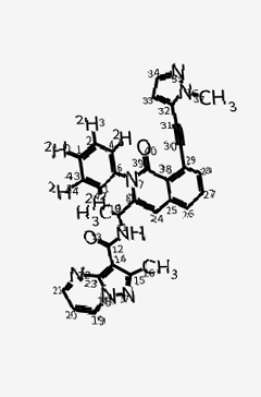 [2H]c1c([2H])c([2H])c(-n2c([C@H](C)NC(=O)c3c(C)nn4cccnc34)cc3cccc(C#Cc4ccnn4C)c3c2=O)c([2H])c1[2H]